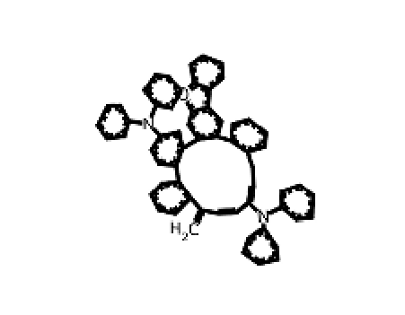 C=C1/C=C\C(N(c2ccccc2)c2ccccc2)=C/Cc2ccccc2-c2cc3c(cc2-c2cc(N(c4ccccc4)c4ccccc4)ccc2-c2ccccc21)oc1ccccc13